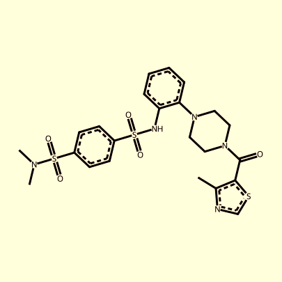 Cc1ncsc1C(=O)N1CCN(c2ccccc2NS(=O)(=O)c2ccc(S(=O)(=O)N(C)C)cc2)CC1